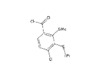 CCCSc1c(Cl)ccc(C(=O)Cl)c1SC